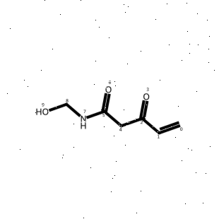 C=CC(=O)CC(=O)NCO